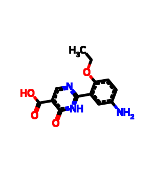 CCOc1ccc(N)cc1-c1ncc(C(=O)O)c(=O)[nH]1